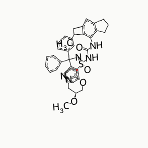 CO[C@@H]1COc2c(S(=O)(=NC(c3ccccc3)(c3ccccc3)c3ccccc3)NC(=O)Nc3c4c(cc5c3C(C)C5)CCC4)cnn2C1